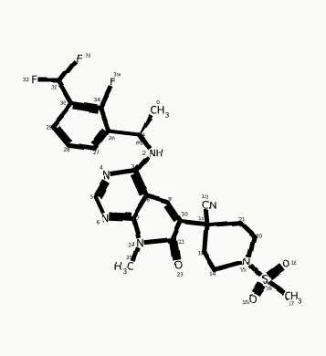 C[C@@H](Nc1ncnc2c1cc(C1(C#N)CCN(S(C)(=O)=O)CC1)c(=O)n2C)c1cccc(C(F)F)c1F